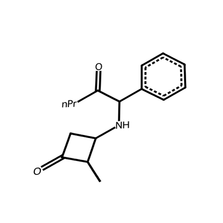 CCCC(=O)C(NC1CC(=O)C1C)c1ccccc1